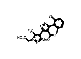 COC(=O)c1c(-c2c(F)cccc2Cl)noc1-c1cnn(CC(=O)O)c1C(F)(F)F